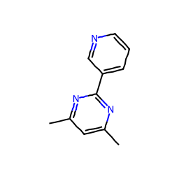 Cc1cc(C)nc(-c2cccnc2)n1